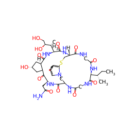 CC[C@H](C)[C@@H]1NC(=O)CNC(=O)[C@@H]2CSc3c4ccccc4cn3CC(NC(=O)CNC1=O)C(=O)N[C@@H](CC(N)=O)C(=O)C1C[C@H](O)C[C@H]1C(=O)N[C@@H]([C@@H](C)[C@@H](O)CO)C(=O)N2